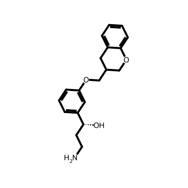 NCC[C@@H](O)c1cccc(OCC2COc3ccccc3C2)c1